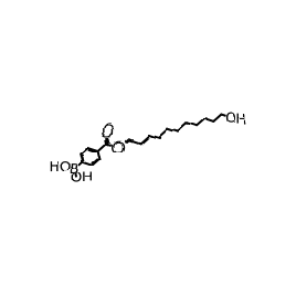 O=C(OCCCCCCCCCCCO)c1ccc(B(O)O)cc1